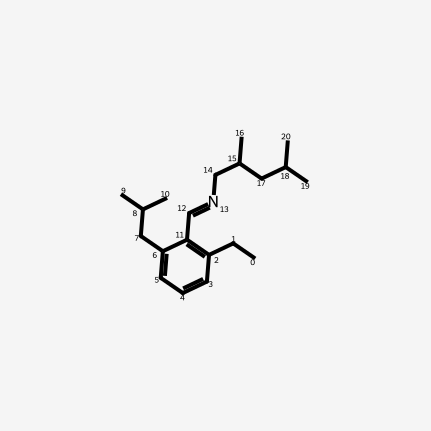 CCc1cccc(CC(C)C)c1C=NCC(C)CC(C)C